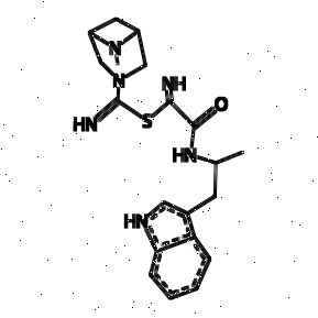 CC(Cc1c[nH]c2ccccc12)NC(=O)C(=N)SC(=N)N1CC2CC(C1)N2C